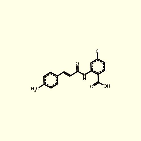 Cc1ccc(/C=C/C(=O)Nc2cc(Cl)ccc2C(=O)O)cc1